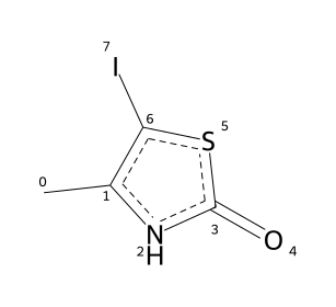 Cc1[nH]c(=O)sc1I